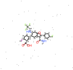 CNC(=O)c1c(-c2ccc(F)cc2)oc2cc(NCC(F)(F)F)c(-c3ccc(I)c(C(=O)O)c3)cc12